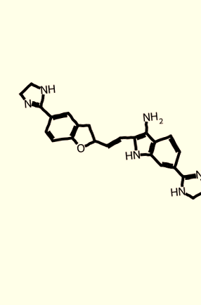 Nc1c(/C=C/C2Cc3cc(C4=NCCN4)ccc3O2)[nH]c2cc(C3=NCCN3)ccc12